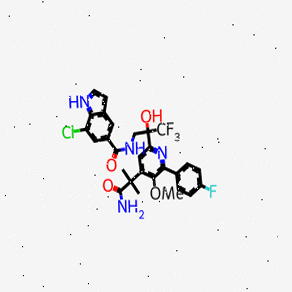 COc1c(C(C)(C)C(N)=O)cc(C(O)(CNC(=O)c2cc(Cl)c3[nH]ccc3c2)C(F)(F)F)nc1-c1ccc(F)cc1